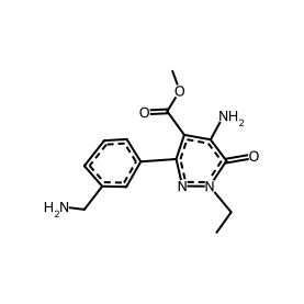 CCn1nc(-c2cccc(CN)c2)c(C(=O)OC)c(N)c1=O